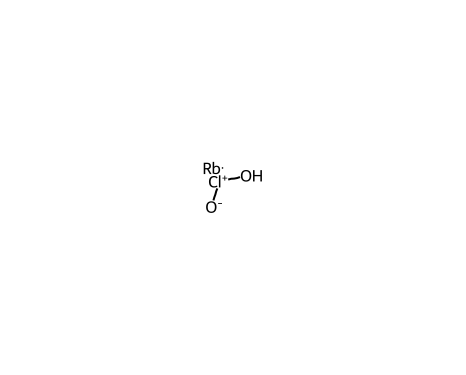 [O-][Cl+]O.[Rb]